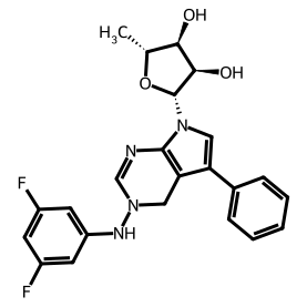 C[C@H]1O[C@@H](n2cc(-c3ccccc3)c3c2N=CN(Nc2cc(F)cc(F)c2)C3)[C@H](O)[C@@H]1O